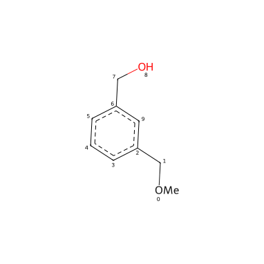 COCc1cccc(CO)c1